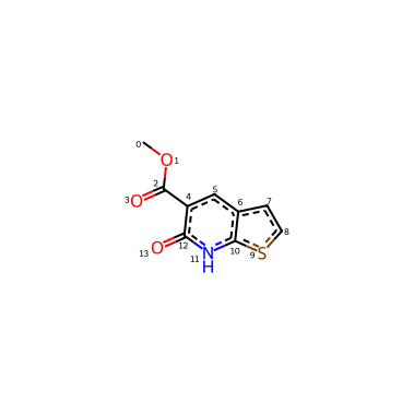 COC(=O)c1cc2ccsc2[nH]c1=O